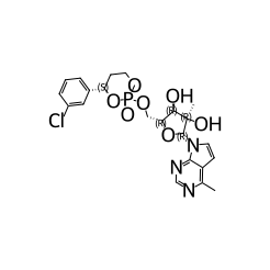 Cc1ncnc2c1ccn2[C@@H]1O[C@H](COP2(=O)OCC[C@@H](c3cccc(Cl)c3)O2)[C@@H](O)[C@@]1(C)O